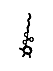 CCCCCCOC(=O)Oc1ccc(C)c(C)c1C